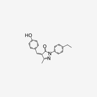 CCc1ccc(N2N=C(C)C(=Cc3ccc(O)cc3)C2=O)cc1